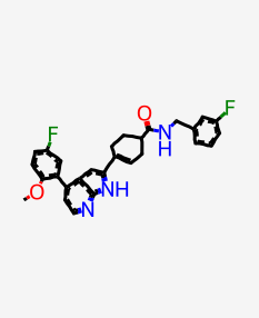 COc1ccc(F)cc1-c1ccnc2[nH]c(C3=CCC(C(=O)NCc4cccc(F)c4)CC3)cc12